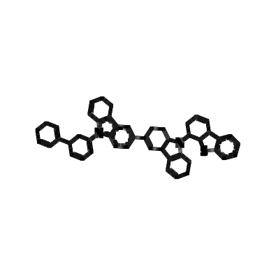 C1=CC(C2=CCCC=C2)CC(n2c3c(c4cc(C5=CC6C7=C(CCC=C7)N(C7CC=CC8c9ccccc9SC87)C6CC5)ccc42)CCC=C3)=C1